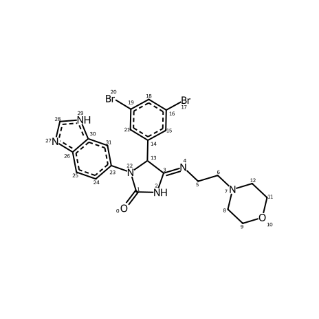 O=C1NC(=NCCN2CCOCC2)C(c2cc(Br)cc(Br)c2)N1c1ccc2nc[nH]c2c1